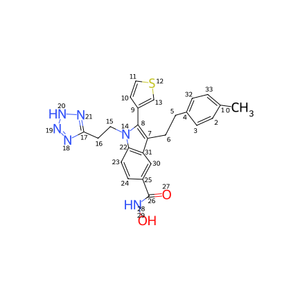 Cc1ccc(CCc2c(-c3ccsc3)n(CCc3nn[nH]n3)c3ccc(C(=O)NO)cc23)cc1